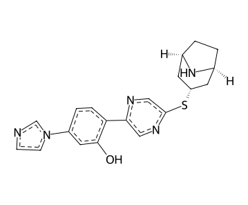 Oc1cc(-n2ccnc2)ccc1-c1cnc(S[C@@H]2C[C@H]3CC[C@@H](C2)N3)cn1